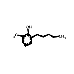 CCCCCc1cccc(C)c1O